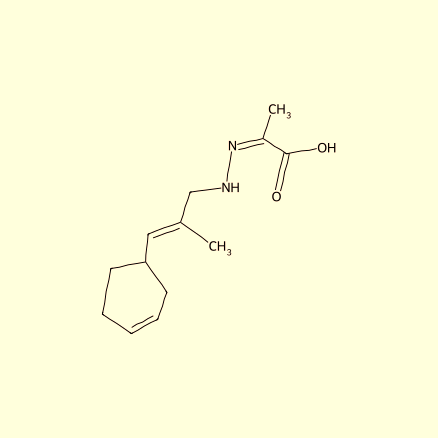 C/C(=N/NC/C(C)=C/C1CC=CCC1)C(=O)O